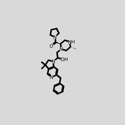 C[C@@H]1CN(CC(O)N2CC(C)(C)c3cnc(Cc4ccccc4)cc32)[C@@H](C(=O)N2CCCC2)CN1